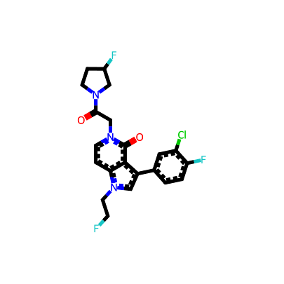 O=C(Cn1ccc2c(c(-c3ccc(F)c(Cl)c3)cn2CCF)c1=O)N1CCC(F)C1